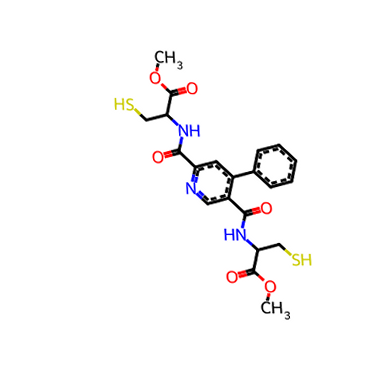 COC(=O)C(CS)NC(=O)c1cc(-c2ccccc2)c(C(=O)NC(CS)C(=O)OC)cn1